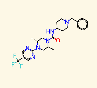 C[C@@H]1CN(C(=O)NC2CCN(Cc3ccccc3)CC2)[C@@H](C)CN1c1ncc(C(F)(F)F)cn1